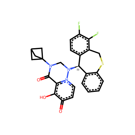 O=C1c2c(O)c(=O)ccn2N([C@@H]2c3ccccc3SCc3c2ccc(F)c3F)CN1C12CC(C1)C2